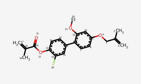 C=C(C)COc1ccc(-c2ccc(OC(=O)C(=C)C)c(F)c2)c(OCC)c1